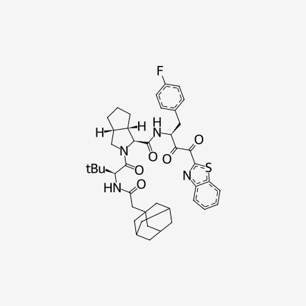 CC(C)(C)[C@H](NC(=O)CC12CC3CC(CC(C3)C1)C2)C(=O)N1C[C@@H]2CCC[C@@H]2[C@H]1C(=O)N[C@@H](Cc1ccc(F)cc1)C(=O)C(=O)c1nc2ccccc2s1